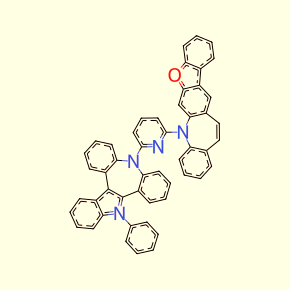 C1=Cc2cc3c(cc2N(c2cccc(N4c5ccccc5-c5c(n(-c6ccccc6)c6ccccc56)-c5ccccc54)n2)c2ccccc21)oc1ccccc13